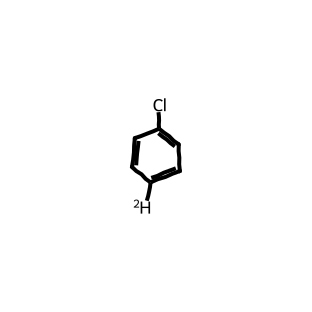 [2H]c1ccc(Cl)cc1